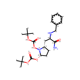 CC(C)(C)OC(=O)O[C@H]1CC[C@@H](CC(NCc2ccccc2)C(N)=O)N1OC(=O)OC(C)(C)C